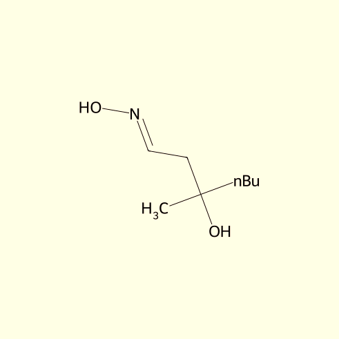 CCCCC(C)(O)CC=NO